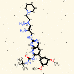 COc1cc(OC)cc(-c2cc3cnc(NC/C(N)=C/N(N)CCN4CCCCC4)nc3nc2NC(=O)NC(C)(C)C)c1